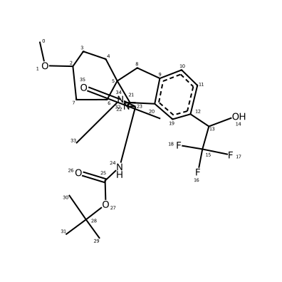 COC1CCC2(CC1)Cc1ccc(C(O)C(F)(F)F)cc1C21N=C(NC(=O)OC(C)(C)C)N(C)C1=O